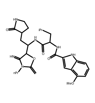 C=C1OC(C(CC2CCNC2=O)NC(=O)C(CC(C)C)NC(=O)c2cc3c(OC)cccc3[nH]2)C(=N)N1CCC